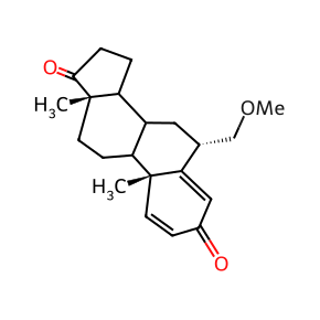 COC[C@H]1CC2C(CC[C@]3(C)C(=O)CCC23)[C@@]2(C)C=CC(=O)C=C12